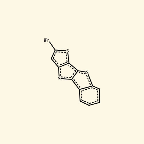 CC(C)c1cc2sc3c4ccccc4sc3c2s1